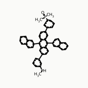 CPc1cccc(-c2ccc3c(-c4ccc5ccccc5c4)c4cc(-c5cccc(P(C)(C)=O)c5)ccc4c(-c4ccc5ccccc5c4)c3c2)c1